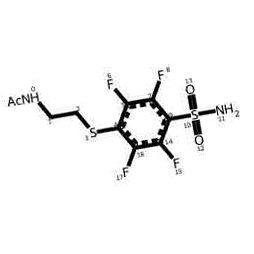 CC(=O)NCCSc1c(F)c(F)c(S(N)(=O)=O)c(F)c1F